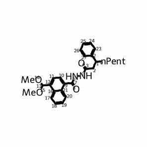 CCCCCC(CC(=O)NNC(=O)c1ccc(C(OC)OC)c2ccccc12)c1ccccc1